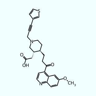 COc1ccc2nccc(C(=O)CC[C@@H]3CCN(CC#Cc4ccsc4)C[C@H]3CC(=O)O)c2c1